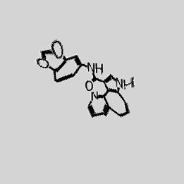 O=C(Nc1ccc2c(c1)OCO2)c1c[nH]c2c1-c1ncccc1CCC2